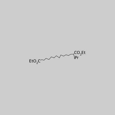 CCOC(=O)CCCCCCCCCCCCCC(C(=O)OCC)C(C)C